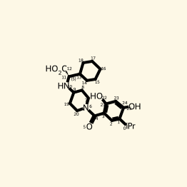 CC(C)c1cc(C(=O)N2CCC(N[C@H](C(=O)O)C3CCCCC3)CC2)c(O)cc1O